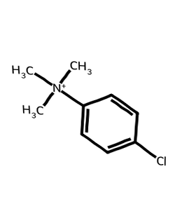 C[N+](C)(C)c1ccc(Cl)cc1